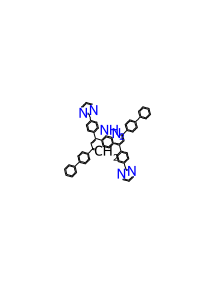 C=C(/C=C(/c1ccc(-c2ncccn2)cc1)c1ccc2c(-c3ccc(-c4ncccn4)cc3)cc(-c3ccc(-c4ccccc4)cc3)nc2c1N)c1ccc(-c2ccccc2)cc1